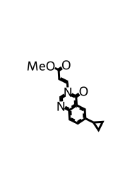 COC(=O)/C=C/n1cnc2ccc(C3CC3)cc2c1=O